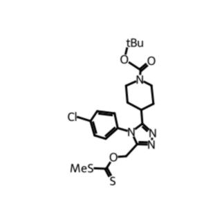 CSC(=S)OCc1nnc(C2CCN(C(=O)OC(C)(C)C)CC2)n1-c1ccc(Cl)cc1